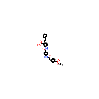 COC(=O)c1ccc(CC(=O)Nc2ccc(C(=O)Nc3ccc(C=Cc4ccccc4)c(C(=O)O)c3)cc2)cc1